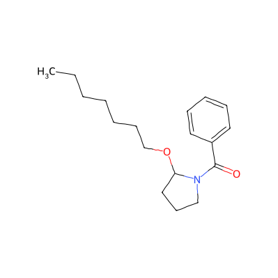 CCCCCCCOC1CCCN1C(=O)c1ccccc1